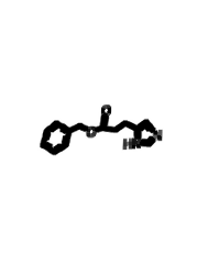 O=C(CCc1cnc[nH]1)OCc1ccccc1